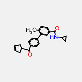 Cc1ccc(C(=O)NC2CC2)cc1-c1ccc(C(=O)C2CC=CC2)cc1